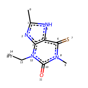 Cc1nc2c([nH]1)c(=S)n(C)c(=O)n2CC(C)C